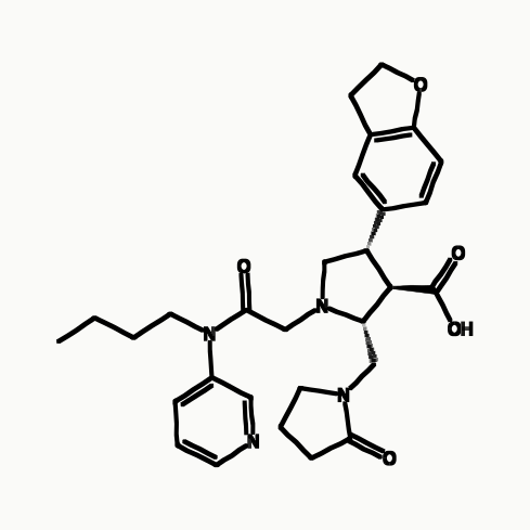 CCCCN(C(=O)CN1C[C@H](c2ccc3c(c2)CCO3)[C@@H](C(=O)O)[C@@H]1CN1CCCC1=O)c1cccnc1